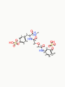 CNC(=O)C(Cc1ccc(OS(=O)(=O)O)cc1)NC(=O)COCC(=O)Nc1ccc(C)c(OS(=O)(=O)O)c1